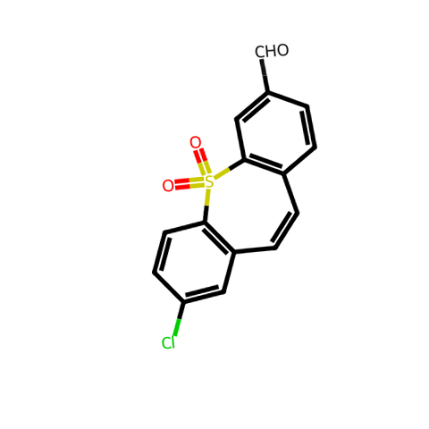 O=Cc1ccc2c(c1)S(=O)(=O)c1ccc(Cl)cc1C=C2